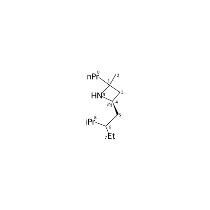 CCCC1(C)C[C@@H](CC(CC)C(C)C)N1